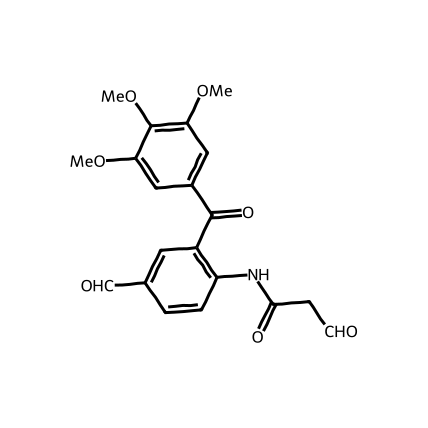 COc1cc(C(=O)c2cc(C=O)ccc2NC(=O)CC=O)cc(OC)c1OC